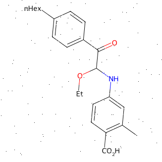 CCCCCCc1ccc(C(=O)C(Nc2ccc(C(=O)O)c(C)c2)OCC)cc1